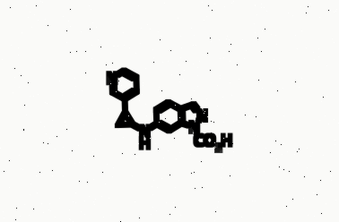 O=C(O)n1ncc2ccc(NC3CC3c3cccnc3)cc21